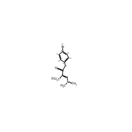 CCOC(=O)C(=CN(C)C)C(=O)Cc1ccc(Br)cc1